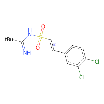 CC(C)(C)C(=N)NS(=O)(=O)/C=C/c1ccc(Cl)c(Cl)c1